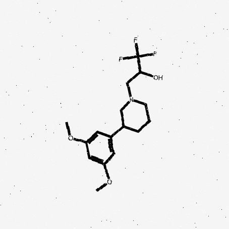 COc1cc(OC)cc(C2CCCN(CC(O)C(F)(F)F)C2)c1